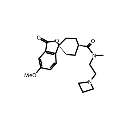 COc1ccc2c(c1)C(=O)O[C@]21CC[C@H](C(=O)N(C)CCN2CCC2)CC1